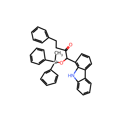 C[Si](O[C](C(=O)CCc1ccccc1)c1cccc2c1[nH]c1ccccc12)(c1ccccc1)c1ccccc1